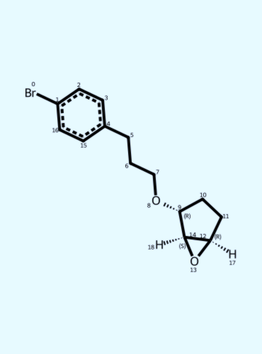 Brc1ccc(CCCO[C@@H]2CC[C@H]3O[C@@H]23)cc1